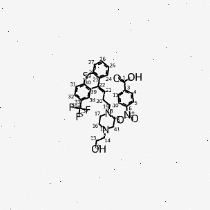 O=C(O)c1ccc([N+](=O)[O-])cc1.OCCN1CCN(CC/C=C2/c3ccccc3Sc3ccc(C(F)(F)F)cc32)CC1